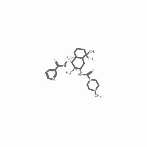 C[C@@H]1[C@H](NC(=O)N2CCN(C)CC2)CC2C(C)(C)CCC[C@]2(C)[C@H]1CNC(=O)c1cccnc1